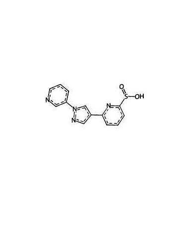 O=S(O)c1cccc(-c2cnn(-c3cccnc3)c2)n1